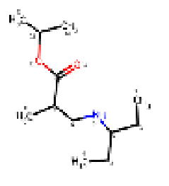 CCC(CC)NCC(C)C(=O)OC(C)C